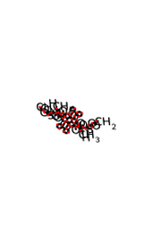 C=CC(=O)Oc1csc(NC(=O)C(CCC)N2C(=O)c3cc(Oc4ccccc4)c4c5c(Oc6ccccc6)cc6c7c(cc(Oc8ccccc8)c(c8c(Oc9ccccc9)cc(c3c48)C2=O)c75)C(=O)N(C(CCC)C(=O)Nc2cc(OC(=O)C=C)cs2)C6=O)c1